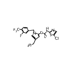 CC(C)Cc1cc(OC(=O)Nc2ncc(Cl)s2)n(Cc2ccc(C(F)(F)F)c(F)c2)c1